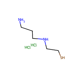 Cl.Cl.NCCCNCCS